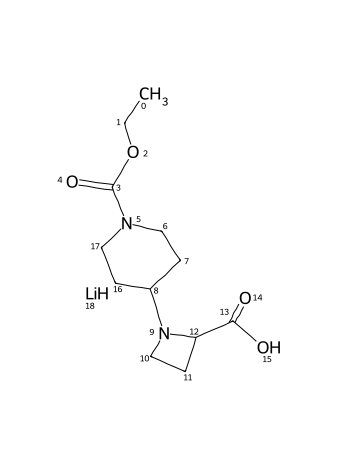 CCOC(=O)N1CCC(N2CCC2C(=O)O)CC1.[LiH]